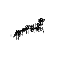 CC(C)(C)C(C)(OCCNC(=O)CC[C@H](NC(=O)c1ccc(NCc2cnc3nc(N)[nH]c(=O)c3n2)cc1)C(=O)O)OCCNC(=O)CCN1C(=O)C=CC1=O